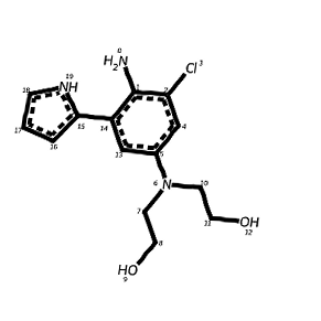 Nc1c(Cl)cc(N(CCO)CCO)cc1-c1ccc[nH]1